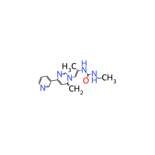 C=C1C=C(c2cccnc2)N=CN1/C=C(\C)NC(=O)NCC